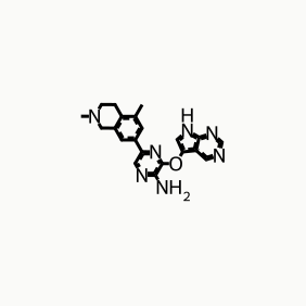 Cc1cc(-c2cnc(N)c(Oc3c[nH]c4ncncc34)n2)cc2c1CCN(C)C2